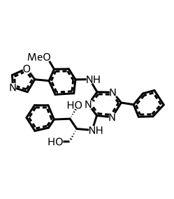 COc1cc(Nc2nc(N[C@H](CO)[C@@H](O)c3ccccc3)nc(-c3ccccc3)n2)ccc1-c1cnco1